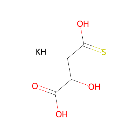 O=C(O)C(O)CC(O)=S.[KH]